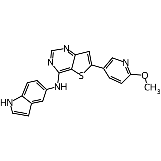 COc1ccc(-c2cc3ncnc(Nc4ccc5[nH]ccc5c4)c3s2)cn1